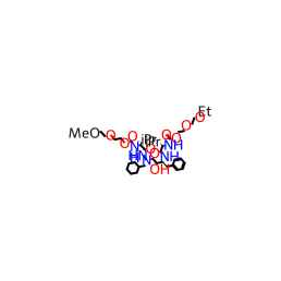 CCOCCOCCOC(=O)N[C@H](C(=O)N[C@@H](Cc1ccccc1)[C@@H](O)CN(CC1CCCCC1)NC(=O)[C@@H](NC(=O)OCCOCCOC)C(C)C)C(C)C